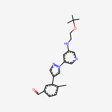 Cc1ccc(C=O)cc1-c1cnn(-c2cncc(NCCOC(C)(C)C)c2)c1